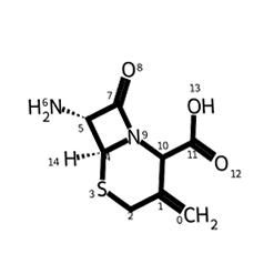 C=C1CS[C@H]2[C@H](N)C(=O)N2C1C(=O)O